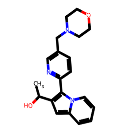 CC(O)c1cc2ccccn2c1-c1ccc(CN2CCOCC2)cn1